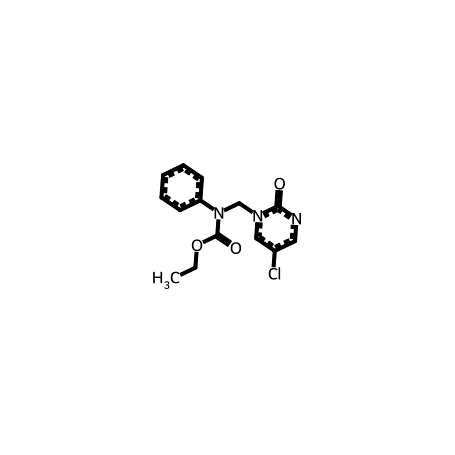 CCOC(=O)N(Cn1cc(Cl)cnc1=O)c1ccccc1